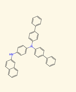 c1ccc(-c2ccc(N(c3ccc(Nc4ccc5ccccc5c4)cc3)c3ccc(-c4ccccc4)cc3)cc2)cc1